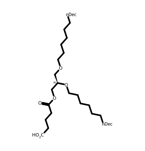 CCCCCCCCCCCCCCCCOC[C@H](COC(=O)CCCC(=O)O)OCCCCCCCCCCCCCCCC